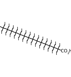 O=C(O)C(I)(I)C(I)(I)C(I)(I)C(I)(I)C(I)(I)C(I)(I)C(I)(I)C(I)(I)C(I)(I)C(I)(I)C(I)(I)C(I)(I)C(I)(I)C(I)(I)I